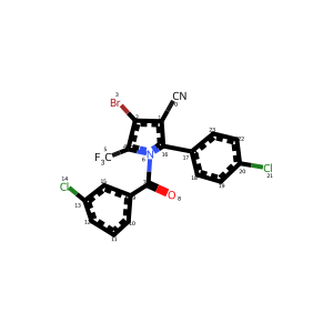 N#Cc1c(Br)c(C(F)(F)F)n(C(=O)c2cccc(Cl)c2)c1-c1ccc(Cl)cc1